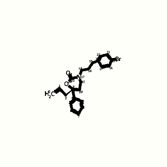 C=CC[C@]1(c2ccccc2)CCN(CCCc2ccc(Br)cc2)C(=O)O1